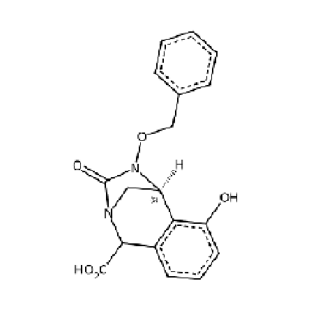 O=C(O)C1c2cccc(O)c2[C@H]2CN1C(=O)N2OCc1ccccc1